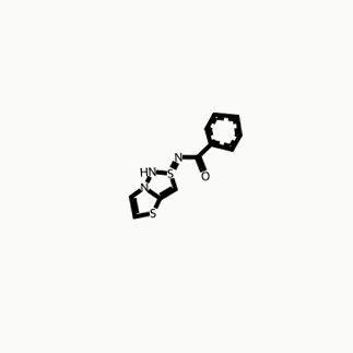 O=C(N=S1C=C2SC=CN2N1)c1ccccc1